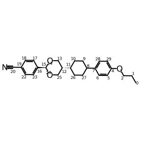 CCCOc1ccc(C2CCC([C@H]3CO[C@H](c4ccc(C#N)cc4)OC3)CC2)cc1